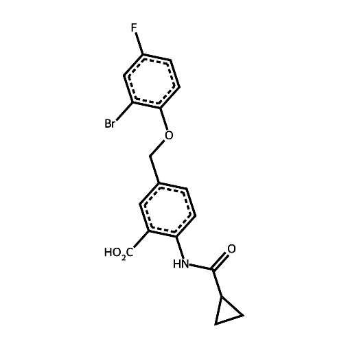 O=C(O)c1cc(COc2ccc(F)cc2Br)ccc1NC(=O)C1CC1